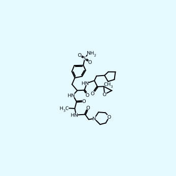 CC(NC(=O)CN1CCOCC1)C(=O)NC(Cc1ccc(S(N)(=O)=O)cc1)C(=O)NC(CC1CCCC1)C(=O)C1(C)CO1